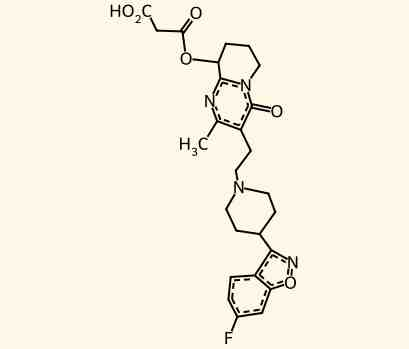 Cc1nc2n(c(=O)c1CCN1CCC(c3noc4cc(F)ccc34)CC1)CCCC2OC(=O)CC(=O)O